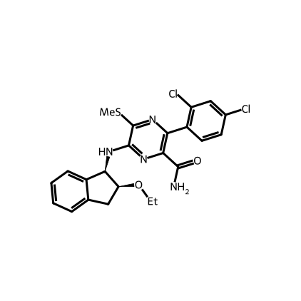 CCO[C@H]1Cc2ccccc2[C@H]1Nc1nc(C(N)=O)c(-c2ccc(Cl)cc2Cl)nc1SC